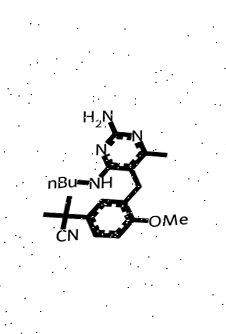 CCCCNc1nc(N)nc(C)c1Cc1cc(C(C)(C)C#N)ccc1OC